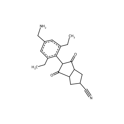 CCc1cc(CN)cc(CC)c1C1C(=O)C2CC(C#N)CC2C1=O